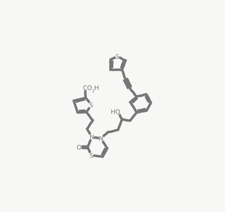 O=C(O)c1ccc(CCN2C(=O)SC=CN2CCC(O)Cc2cccc(C#Cc3ccsc3)c2)s1